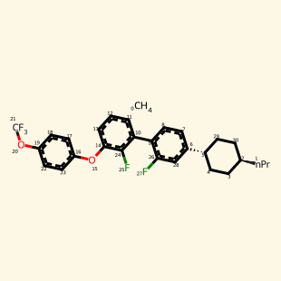 C.CCC[C@H]1CC[C@H](c2ccc(-c3cccc(Oc4ccc(OC(F)(F)F)cc4)c3F)c(F)c2)CC1